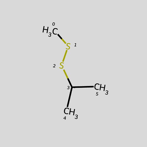 CSS[C](C)C